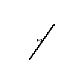 CCCCCCCCCCCCCCCCCC(O)CCCCCCCCCCCCCCCC